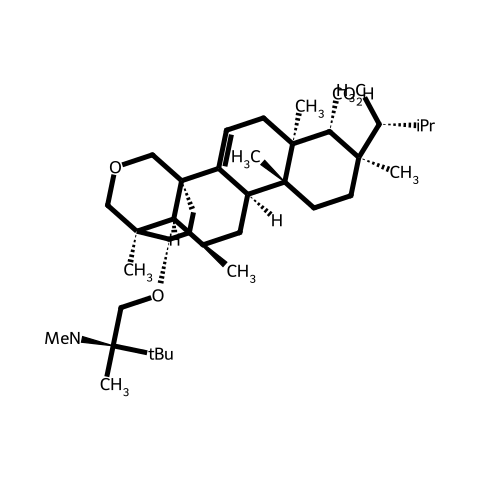 CN[C@@](C)(CO[C@H]1[C@H](C)C[C@@]23COC[C@@]1(C)[C@@H]2CC[C@H]1C3=CC[C@@]2(C)[C@H](C(=O)O)[C@@](C)([C@H](C)C(C)C)CC[C@]12C)C(C)(C)C